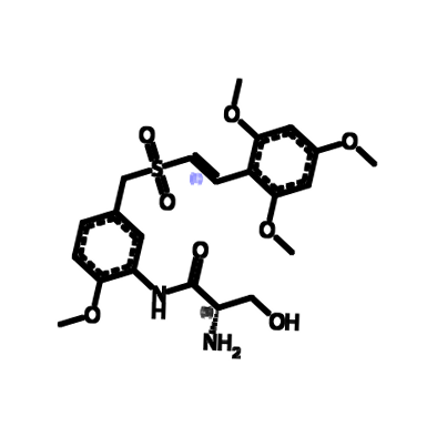 COc1cc(OC)c(/C=C/S(=O)(=O)Cc2ccc(OC)c(NC(=O)[C@@H](N)CO)c2)c(OC)c1